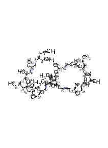 C#CC[C@H](/C=C/C(C)=C/[C@@H](O)[C@H]1C[C@@H](CO)C[C@@](O)(Cc2nc(/C=C(\C)[C@@H]3O[C@@H]4C/C=C/c5nc(co5)[C@H]5C[C@H](O)C[C@@H](C[C@H]6CC(=C)C[C@H](C/C=C/C(=O)O[C@@H]([C@H]4C)[C@H]3C)O6)O5)co2)O1)CO